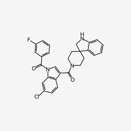 O=C(c1cn(C(=O)c2cccc(F)c2)c2cc(Cl)ccc12)N1CCC2(CC1)CNc1ccccc12